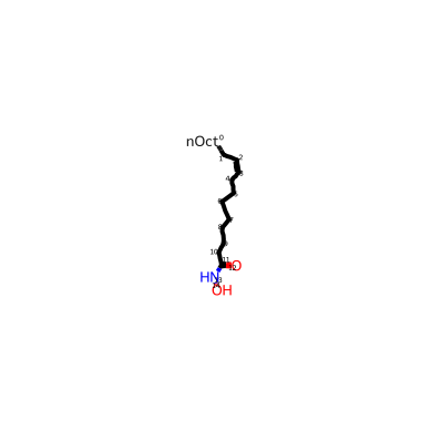 CCCCCCCCC/C=C\CCCCCCCC(=O)NO